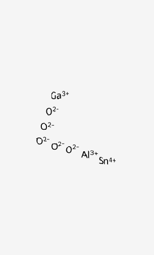 [Al+3].[Ga+3].[O-2].[O-2].[O-2].[O-2].[O-2].[Sn+4]